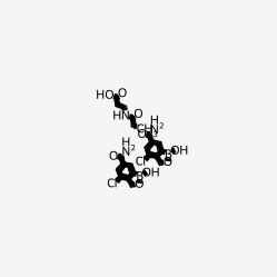 CCC(=O)NCCC(=O)O.NC(=O)c1cc(Cl)c2c(c1)B(O)OC2.NC(=O)c1cc(Cl)c2c(c1)B(O)OC2